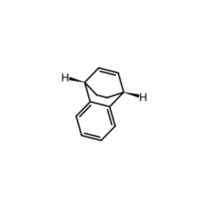 C1=C[C@H]2CC[C@@H]1c1ccccc12